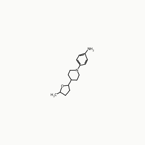 CC1CCC(C2CCN(c3ccc(N)cc3)CC2)O1